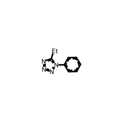 [CH2]Cc1nnnn1-c1ccccc1